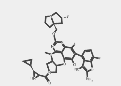 CN1c2nc(OC[C@@]34CCCN3C[C@H](F)C4)nc3c(F)c(-c4ccc(F)c5sc(N)c(C#N)c45)c(Cl)c(c23)OC2CN(C(=O)C3N[C@H]3C3CC3)CC21